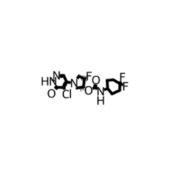 O=C(NC1CCC(F)(F)CC1)O[C@@H]1CN(c2cn[nH]c(=O)c2Cl)C[C@H]1F